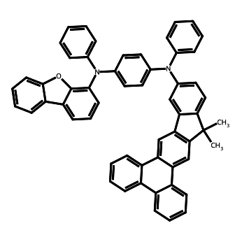 CC1(C)c2ccc(N(c3ccccc3)c3ccc(N(c4ccccc4)c4cccc5c4oc4ccccc45)cc3)cc2-c2cc3c4ccccc4c4ccccc4c3cc21